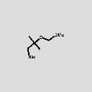 COCOC(C)(C)CC(C)(C)C